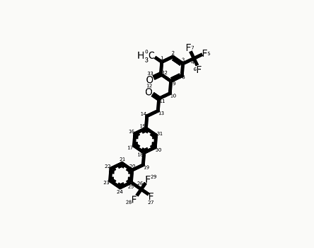 CC1C=C(C(F)(F)F)C=C(CC(=O)CCc2ccc(Cc3ccccc3C(F)(F)F)cc2)C1=O